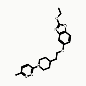 CCOc1nc2cc(OCCC3CCN(c4ccc(C)nn4)CC3)ccc2o1